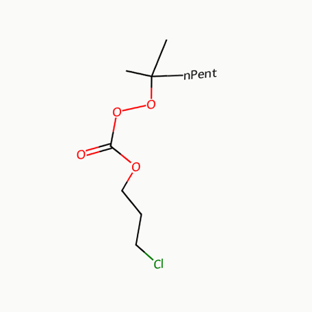 CCCCCC(C)(C)OOC(=O)OCCCCl